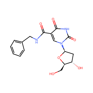 O=C(NCc1ccccc1)c1cn([C@H]2C[C@H](O)[C@@H](CO)O2)c(=O)[nH]c1=O